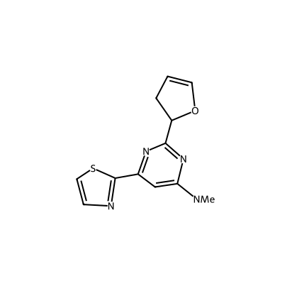 CNc1cc(-c2nccs2)nc(C2CC=CO2)n1